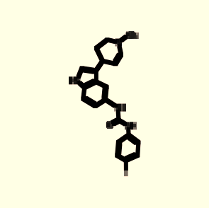 CC(C)(C)N1C=CC(c2c[nH]c3ccc(NC(=O)Nc4ccc(I)cc4)cc23)CC1